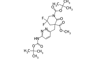 COC(=O)C1(Cc2ccc(NC(=O)OC(C)(C)C)nn2)CC(F)(F)CN(C(=O)OC(C)(C)C)C1=O